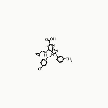 Cc1cccc(-c2nc3nc(C(=O)O)nc(NCC4CC4)c3n2CCc2ccc(Cl)cc2)c1